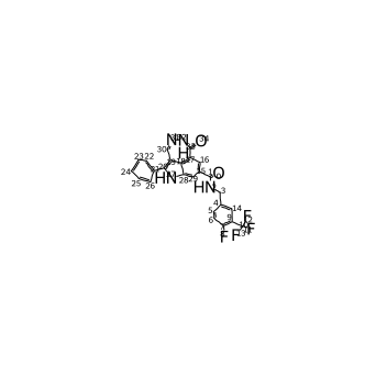 O=C(NCc1ccc(F)c(C(F)(F)F)c1)c1cc2c3c(c(-c4ccccc4)[nH]c3c1)C=NNC2=O